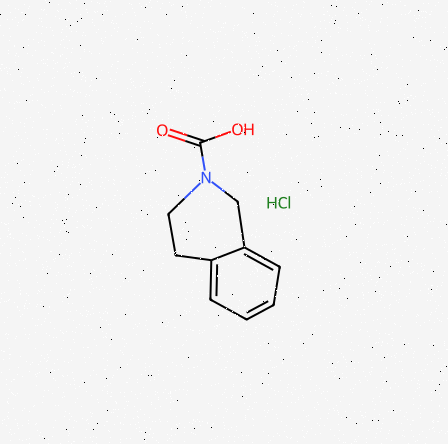 Cl.O=C(O)N1CCc2ccccc2C1